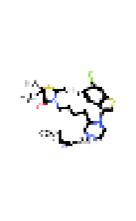 CC1SC(C)(C)C(=O)N1CCCCC1CNCCN1c1csc2cc(F)ccc12.O=C(O)/C=C\C(=O)O